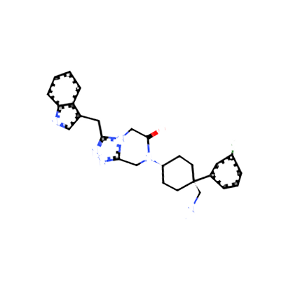 NC[C@]1(c2cccc(Cl)c2)CC[C@H](N2Cc3nnc(Cc4c[nH]c5ccccc45)n3CC2=O)CC1